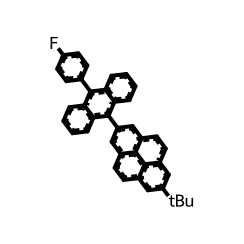 CC(C)(C)c1cc2ccc3cc(-c4c5ccccc5c(-c5ccc(F)cc5)c5ccccc45)cc4ccc(c1)c2c34